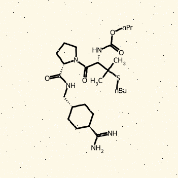 CCCCSC(C)(C)[C@@H](NC(=O)OCCC)C(=O)N1CCC[C@H]1C(=O)NC[C@H]1CC[C@H](C(=N)N)CC1